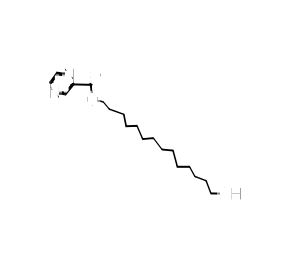 CCCCCCCCCCCCCCCOC(=O)c1cnccn1